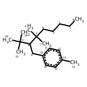 CCCCCC(C)(C)[C](Cc1ccc(C)cc1)C(C)(C)C